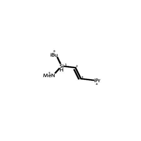 CCC(C)[SiH](C=CC(C)C)NC